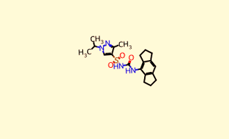 Cc1nn(C(C)C)cc1S(=O)(=O)NC(=O)Nc1c2c(cc3c1CCC3)CCC2